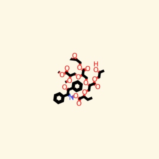 CCC(OCC(OCC(OCC(OC)C(=O)OC)C(=O)OCC1CO1)C(=O)OCC(C)O)C(=O)ON=C(C(=O)c1ccccc1)c1ccccc1